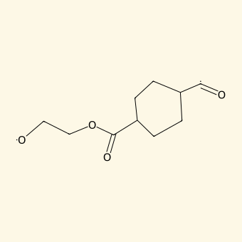 [O]CCOC(=O)C1CCC([C]=O)CC1